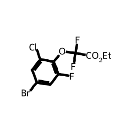 CCOC(=O)C(F)(F)Oc1c(F)cc(Br)cc1Cl